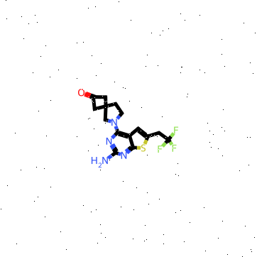 Nc1nc(N2CCC3(CC(=O)C3)C2)c2cc(CC(F)(F)F)sc2n1